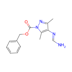 Cc1nn(C(=O)OCc2ccccc2)c(C)c1N=CN